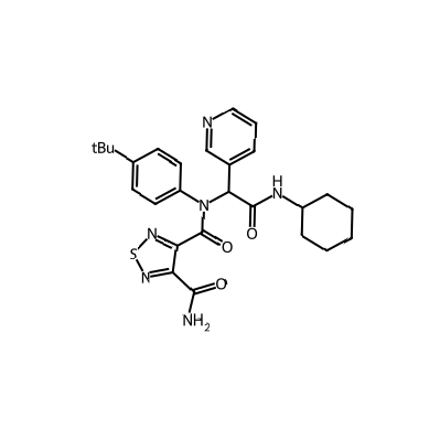 CC(C)(C)c1ccc(N(C(=O)c2nsnc2C(N)=O)C(C(=O)NC2CCCCC2)c2cccnc2)cc1